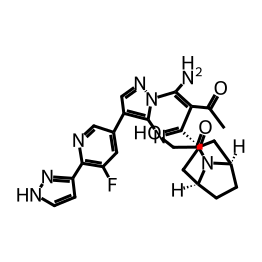 CC(=O)c1c([C@@H]2C[C@H]3CC[C@@H](C2)N3C(=O)CO)nc2c(-c3cnc(-c4cc[nH]n4)c(F)c3)cnn2c1N